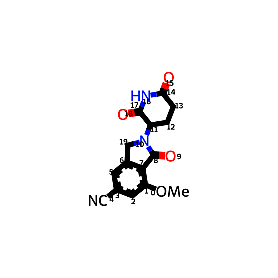 COc1cc(C#N)cc2c1C(=O)N(C1CCC(=O)NC1=O)C2